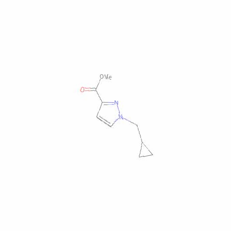 COC(=O)c1ccn(CC2CC2)n1